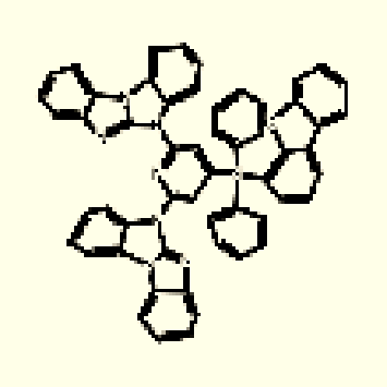 c1ccc([Si](c2ccccc2)(c2cc(-n3c4ccccc4n4c5ccccc5nc34)nc(-n3c4ccccc4n4c5ccccc5nc34)c2)c2cccc3c2oc2ccccc23)cc1